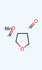 C1CCOC1.[C]=O.[C]=O.[Mn]